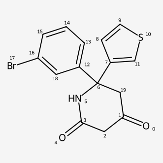 O=C1CC(=O)NC(c2ccsc2)(c2cccc(Br)c2)C1